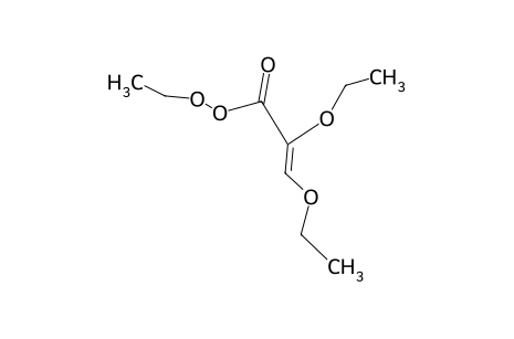 CCOC=C(OCC)C(=O)OOCC